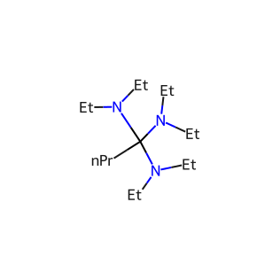 [CH2]CCC(N(CC)CC)(N(CC)CC)N(CC)CC